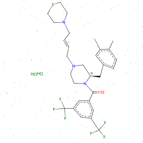 Cc1ccc(C[C@@H]2CN(C/C=C/CN3CCSCC3)CCN2C(=O)c2cc(C(F)(F)F)cc(C(F)(F)F)c2)cc1C.Cl.Cl